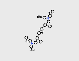 CC(C)(C)c1ccc(N(c2cccc(-c3ccc(-c4ccc5c(c4)C(C)(C)c4cc(-c6ccc(-c7cccc(N(c8ccc(C(C)(C)C)cc8)c8ccc9c(c8)C(C)(C)c8ccccc8-9)c7)c(-c7ccccc7)c6)ccc4-5)cc3-c3ccccc3)c2)c2ccc3c(c2)C(C)(C)c2ccccc2-3)cc1